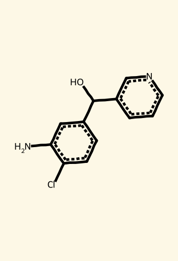 Nc1cc(C(O)c2cccnc2)ccc1Cl